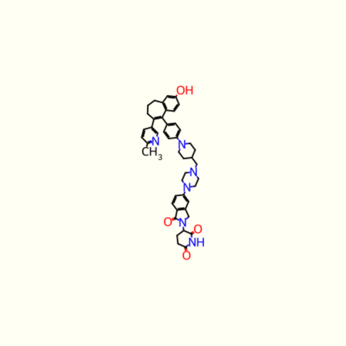 Cc1ccc(C2=C(c3ccc(N4CCC(CN5CCN(c6ccc7c(c6)CN(C6CCC(=O)NC6=O)C7=O)CC5)CC4)cc3)c3ccc(O)cc3CCC2)cn1